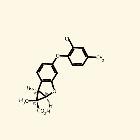 C[C@@]1(C(=O)O)[C@@H]2Oc3cc(Oc4ccc(C(F)(F)F)cc4Cl)ccc3[C@@H]21